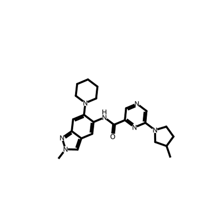 CC1CCN(c2cncc(C(=O)Nc3cc4cn(C)nc4cc3N3CCCCC3)n2)C1